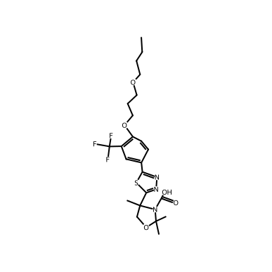 CCCCOCCCOc1ccc(-c2nnc(C3(C)COC(C)(C)N3C(=O)O)s2)cc1C(F)(F)F